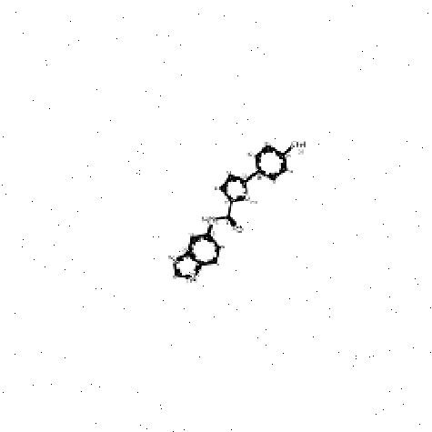 O=C(Nc1ccc2ncsc2c1)c1ccc(-c2ccc(O)cc2)o1